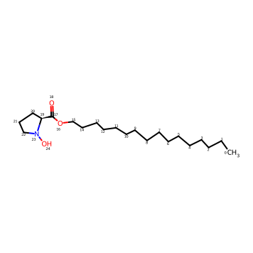 CCCCCCCCCCCCCCCCOC(=O)[C@@H]1CCCN1O